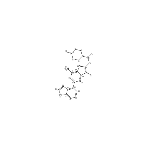 Cc1c(CN(C)C2CCN(C)CC2)sc2c(N)nc(-c3cccc4[nH]ncc34)nc12